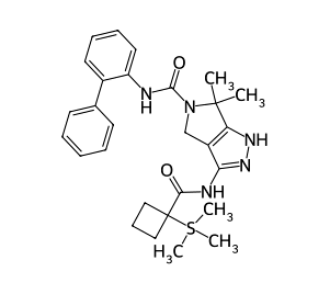 CC1(C)c2[nH]nc(NC(=O)C3(S(C)(C)C)CCC3)c2CN1C(=O)Nc1ccccc1-c1ccccc1